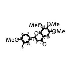 COc1ccc(-c2cc(=O)c3cc(OC)c(OC)c(OC)c3o2)cc1C